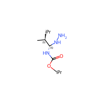 CC(C)OC(=O)N[C@@H](NN)[C@@H](C)C(C)C